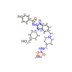 CC(C)(C)OC(=O)NCC1CCN(Cc2ccc3[nH]/c(=N\C(=O)c4ccc(F)cc4)n([C@H]4CC[C@@H](C(=O)O)CC4)c3c2)CC1